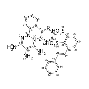 NC1=NN(c2ccccc2)N(c2ccccc2)C(N)=C1N.O=S(=O)(O)c1cccc(C=Cc2ccccc2)c1S(=O)(=O)O